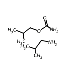 CC(C)CN.CC(C)COC(N)=O